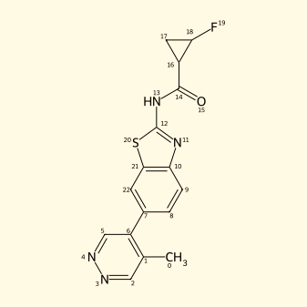 Cc1cnncc1-c1ccc2nc(NC(=O)C3CC3F)sc2c1